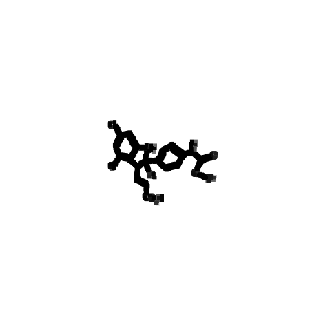 CCC1(c2ccc(NC(=O)OC(C)C)cc2)Nc2cc(Cl)cc(Cl)c2C1C=CC(=O)O